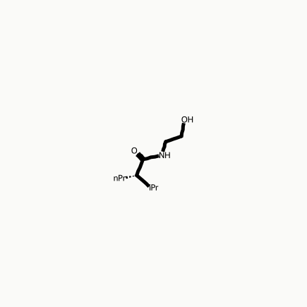 CCC[C@H](C(=O)NCCO)C(C)C